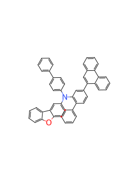 c1ccc(-c2ccc(N(c3ccc4oc5ccccc5c4c3)c3cc(-c4cc5ccccc5c5ccccc45)ccc3-c3ccccc3)cc2)cc1